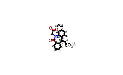 CC(C)(C)OC(=O)CN1C(=O)c2ccccc2C(=CC(=O)O)c2ccccc21